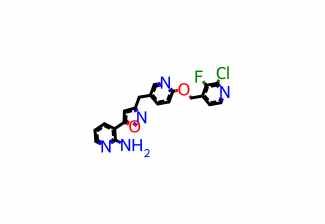 Nc1ncccc1-c1cc(Cc2ccc(OCc3ccnc(Cl)c3F)nc2)no1